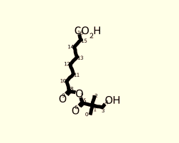 CC(C)(CO)C(=O)OC(=O)CCCCCCC(=O)O